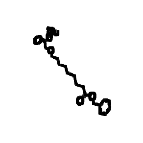 CC(C)(C)OC(=O)COCCCCCCCCC(=O)OCc1ccccc1